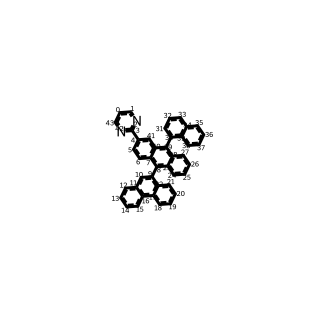 c1cnc(-c2ccc3c(-c4cc5ccccc5c5ccccc45)c4ccccc4c(-c4cccc5ccccc45)c3c2)nc1